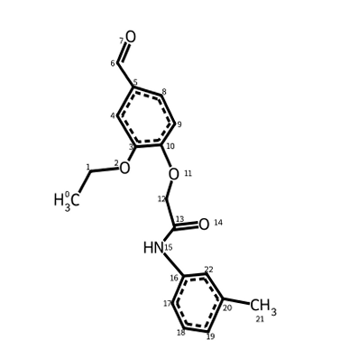 CCOc1cc(C=O)ccc1OCC(=O)Nc1cccc(C)c1